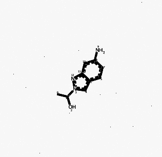 CC(O)n1cc2ccc(N)cc2n1